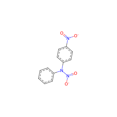 O=[N+]([O-])c1ccc(N(c2ccccc2)[N+](=O)[O-])cc1